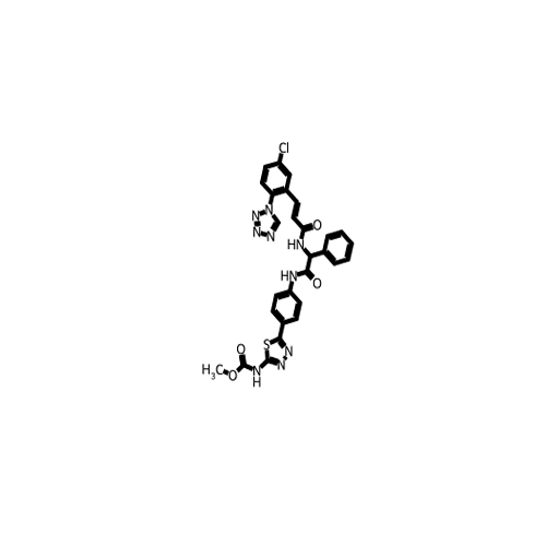 COC(=O)Nc1nnc(-c2ccc(NC(=O)C(NC(=O)/C=C/c3cc(Cl)ccc3-n3cnnn3)c3ccccc3)cc2)s1